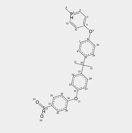 C[PH]1=CC=C(Oc2ccc(C(C)(C)c3ccc(Oc4ccc([SH](=O)=O)cc4)cc3)cc2)C=C1